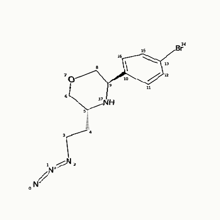 [N-]=[N+]=NCC[C@@H]1COC[C@@H](c2ccc(Br)cc2)N1